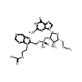 Nc1nc2c(ncn2[C@@H]2O[C@H](COP)[C@@H](N)[C@H]2OP(=O)(S)OCc2nc3cncnc3n2CCOC(=O)S)c(=O)[nH]1